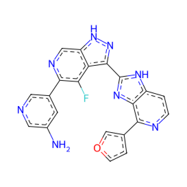 Nc1cncc(-c2ncc3[nH]nc(-c4nc5c(-c6ccoc6)nccc5[nH]4)c3c2F)c1